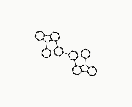 c1ccc(-n2c3ccccc3c3cccc(-c4cccc(-c5cccc(-c6cccc7c8ccccc8n(-c8ccccc8)c67)n5)c4)c32)cc1